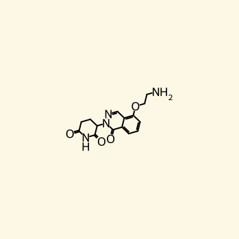 NCCOc1cccc2c(=O)n(C3CCC(=O)NC3=O)ncc12